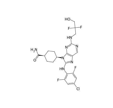 NC(=O)[C@H]1CC[C@@H](n2c(Nc3c(F)cc(Cl)cc3F)nc3cnc(NCC(F)(F)CO)nc32)CC1